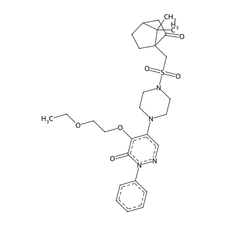 CCOCCOc1c(N2CCN(S(=O)(=O)CC34CCC(CC3=O)C4(C)C)CC2)cnn(-c2ccccc2)c1=O